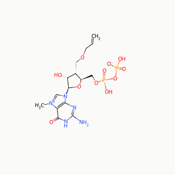 C=CCOC[C@H]1[C@@H](O)[C@H](n2c[n+](C)c3c(=O)[nH]c(N)nc32)O[C@@H]1COP(=O)(O)OP(=O)([O-])O